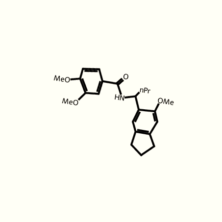 CCCC(NC(=O)c1ccc(OC)c(OC)c1)c1cc2c(cc1OC)CCC2